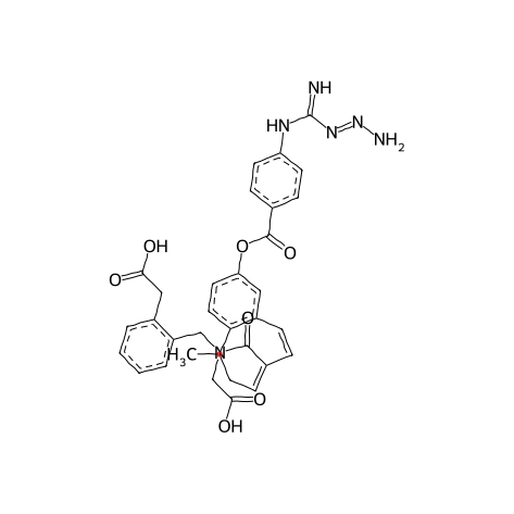 CC1C/C=C(C(=O)N(CC(=O)O)Cc2ccccc2CC(=O)O)/C=C\c2cc(OC(=O)c3ccc(NC(=N)N=NN)cc3)ccc21